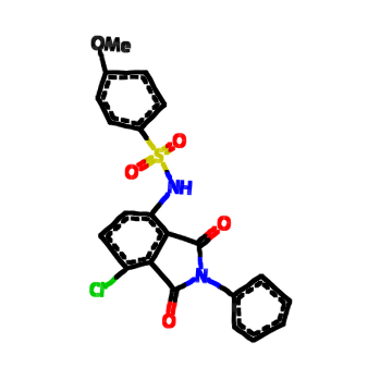 COc1ccc(S(=O)(=O)Nc2ccc(Cl)c3c2C(=O)N(c2ccccc2)C3=O)cc1